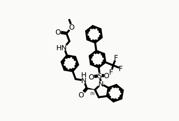 COC(=O)CNc1ccc(CNC(=O)[C@@H]2Cc3ccccc3N2S(=O)(=O)c2ccc(-c3ccccc3)cc2C(F)(F)F)cc1